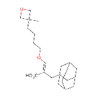 CC1(CCCCOC=C(CC23CC4CC(CC(C4)C2)C3)C(=O)O)COC1